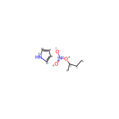 CCC(C)O[N+](=O)[O-].c1cc[nH]c1